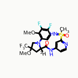 [2H]C1(C(=O)Nc2ccnc([S@](C)(=N)=O)c2)CC(OC)(C(F)(F)F)CN1c1ccc(F)c(F)c1OC